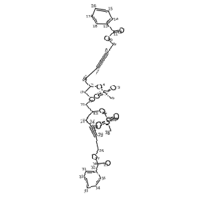 CS(=O)(=O)OC(CC#CCOC(=O)c1ccccc1)COCC(CC#CCOC(=O)c1ccccc1)OS(C)(=O)=O